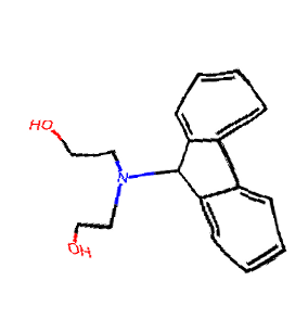 OCCN(CCO)C1c2ccccc2-c2ccccc21